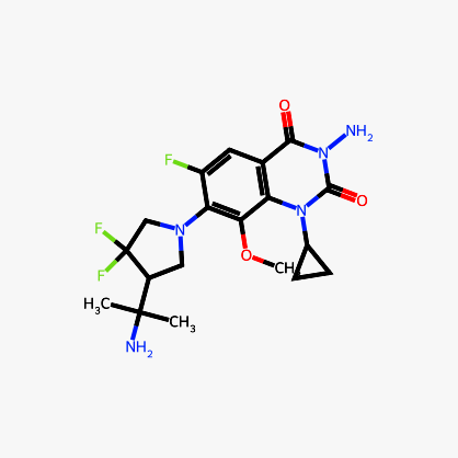 COc1c(N2CC(C(C)(C)N)C(F)(F)C2)c(F)cc2c(=O)n(N)c(=O)n(C3CC3)c12